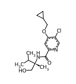 CC(C)[C@@](C)(CO)NC(=O)c1cc(OCC2CC2)c(Cl)cn1